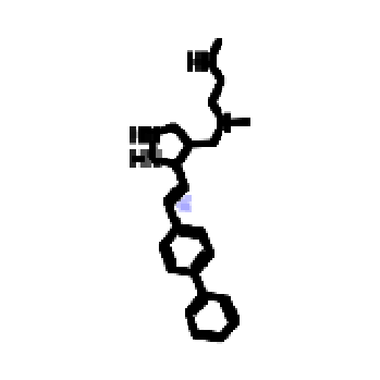 CNCCN(C)CC1CNNC1/C=C/c1ccc(-c2ccccc2)cc1